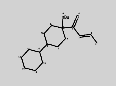 CC=CC(=O)C1(CCCC)CCC(C2CCCCC2)CC1